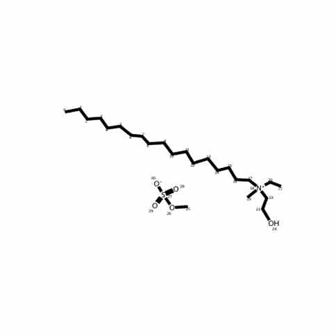 CCCCCCCCCCCCCCCCCC[N+](C)(CC)CCO.COS(=O)(=O)[O-]